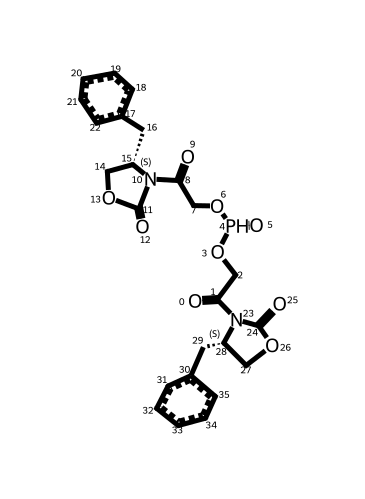 O=C(CO[PH](=O)OCC(=O)N1C(=O)OC[C@@H]1Cc1ccccc1)N1C(=O)OC[C@@H]1Cc1ccccc1